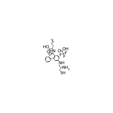 CSCCC(NC(=O)c1ccc(NCC(N)CS)cc1-c1ccccc1)C(=O)O.O=C(O)C(F)(F)F